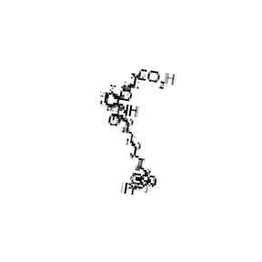 CC(C)CS(=O)(=O)CCCCCCCCCC(=O)Nc1ccccc1OCCCC(=O)O